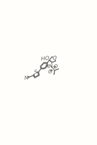 CC(C)S(=O)(=O)N[C@@H]1COC[C@@]1(O)c1ccc(-c2ccc(C#N)s2)cc1